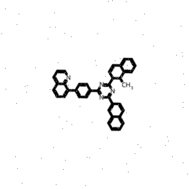 CC1c2ccccc2C=CC1c1nc(-c2ccc(-c3cccc4cccnc34)cc2)nc(-c2ccc3ccccc3c2)n1